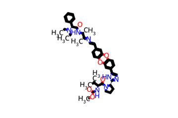 CCN(CC)[C@@H](C(=O)N[C@@H](C)/C(C)=N/C=C/c1ccc2c(c1)Oc1ccc(-c3cnc([C@@H]4CCCN4C(=O)[C@@H](NC(=O)OC)C(C)C)[nH]3)cc1O2)c1ccccc1